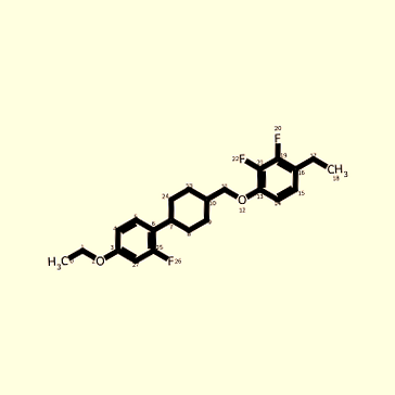 CCOc1ccc(C2CCC(COc3ccc(CC)c(F)c3F)CC2)c(F)c1